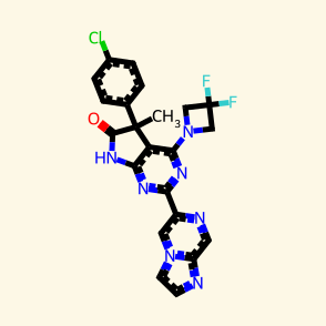 CC1(c2ccc(Cl)cc2)C(=O)Nc2nc(-c3cn4ccnc4cn3)nc(N3CC(F)(F)C3)c21